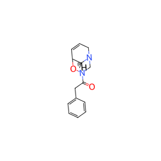 C[C@@H]1C2C=CCN1CN(C(=O)Cc1ccccc1)O2